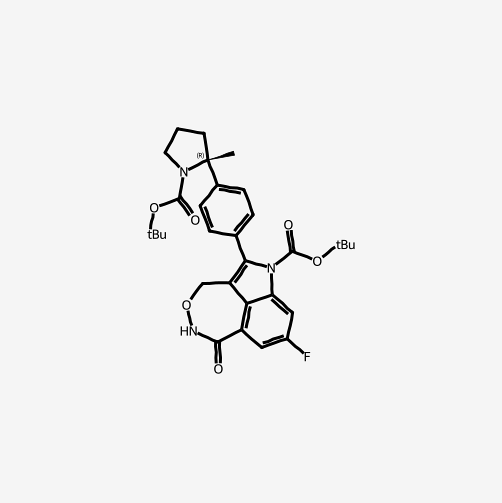 CC(C)(C)OC(=O)N1CCC[C@]1(C)c1ccc(-c2c3c4c(cc(F)cc4n2C(=O)OC(C)(C)C)C(=O)NOC3)cc1